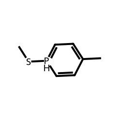 CS[PH]1=CC=C(C)C=C1